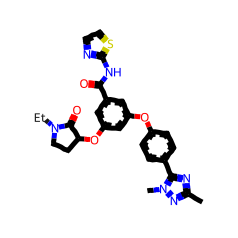 CCN1CCC(Oc2cc(Oc3ccc(-c4nc(C)nn4C)cc3)cc(C(=O)Nc3nccs3)c2)C1=O